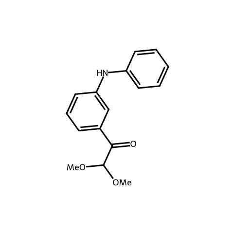 COC(OC)C(=O)c1cccc(Nc2ccccc2)c1